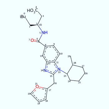 CCC(C)C[C@@H](CC(=O)O)NC(=O)c1ccc2c(c1)nc(Cc1ccco1)n2C1CCCCC1C